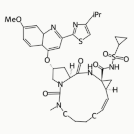 COC1=CC2N=C(c3nc(C(C)C)cs3)C=C(O[C@@H]3C[C@H]4C(=O)N[C@]5(C(=O)NS(=O)(=O)C6CC6)C[C@H]5/C=C\CCCCN(C)C(=O)N4C3)C2C=C1